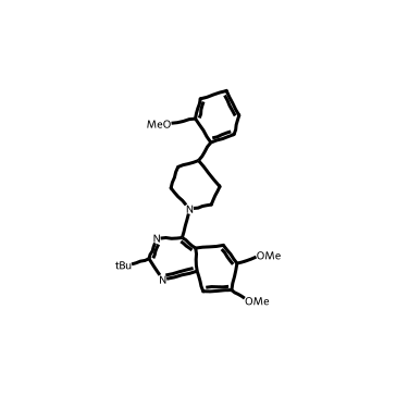 COc1cc2nc(C(C)(C)C)nc(N3CCC(c4ccccc4OC)CC3)c2cc1OC